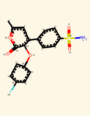 Cc1cc(-c2ccc(S(N)(=O)=O)cc2)c(Oc2ccc(F)cc2)c(=O)o1